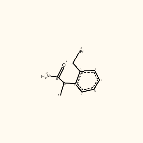 CC(C)Cc1ccccc1C(C)C(N)=O